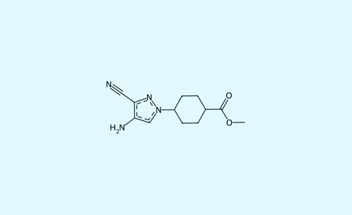 COC(=O)C1CCC(n2cc(N)c(C#N)n2)CC1